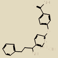 Cl.Cl.NC(=O)c1ccc(Oc2ccc(C(N)CCc3ccccc3)cn2)cc1